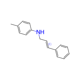 Cc1ccc(NC/C=C/c2ccccc2)cc1